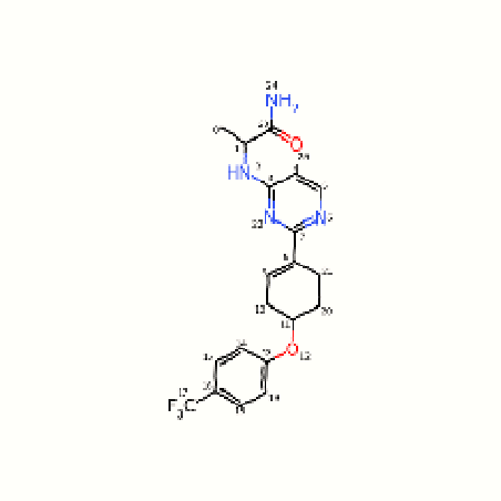 CC(Nc1ccnc(C2=CCC(Oc3ccc(C(F)(F)F)cc3)CC2)n1)C(N)=O